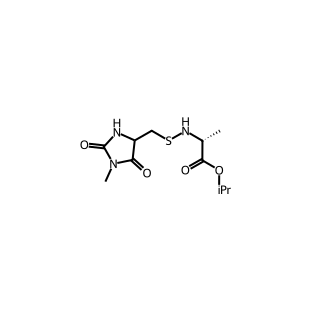 CC(C)OC(=O)[C@@H](C)NSCC1NC(=O)N(C)C1=O